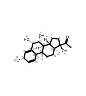 CC(=O)[C@@]1(O)CC[C@H]2[C@@H]3[C@@H](O)[C@@H](O)C4=C[C@@H](O)C=C[C@]4(C)[C@H]3CC[C@@]21C